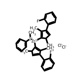 CC1=[C]([Zr+2]([C]2=C(C)C(c3ccccc3F)=CC2C)=[Si](C)c2ccccc2)C(C)C=C1c1ccccc1F.[Cl-].[Cl-]